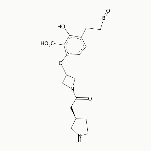 O=BCCc1ccc(OC2CN(C(=O)C[C@H]3CCNC3)C2)c(C(=O)O)c1O